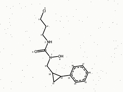 O=C(NCCCCl)N(O)CC1CC1c1ccccc1